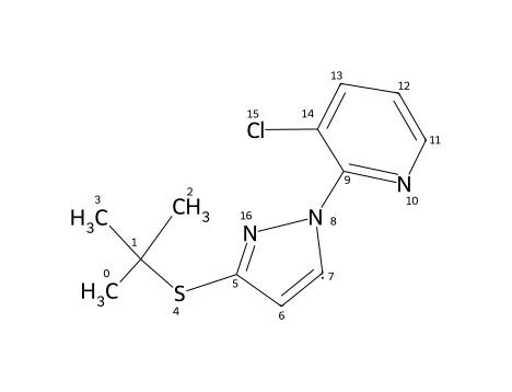 CC(C)(C)Sc1c[c]n(-c2ncccc2Cl)n1